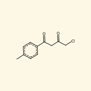 Cc1ccc(C(=O)CC(=O)CCl)cc1